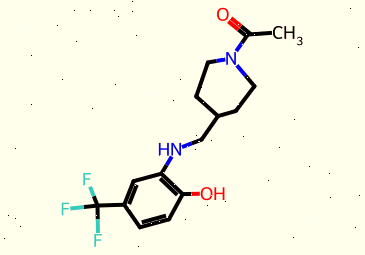 CC(=O)N1CCC(CNc2cc(C(F)(F)F)ccc2O)CC1